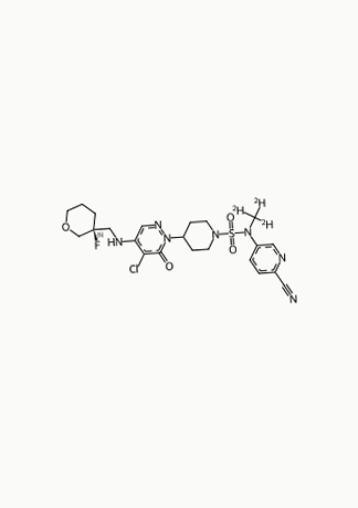 [2H]C([2H])([2H])N(c1ccc(C#N)nc1)S(=O)(=O)N1CCC(n2ncc(NC[C@@]3(F)CCCOC3)c(Cl)c2=O)CC1